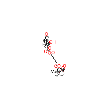 C=CCC1(C)CCCC23c4c5ccc(OC(=O)CCCCCCC(=O)OCC(=O)[C@@]67CC[C@H]8[C@@H]9CCC%10=CC(=O)CC[C@]%10(C)[C@H]9[C@@H](O)C[C@@]86CO7)c4O[C@H]2C(=O)CC[C@@]3(OC)[C@H]1C5